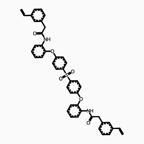 C=Cc1cccc(CC(=O)Nc2ccccc2Oc2ccc(S(=O)(=O)c3ccc(Oc4ccccc4NC(=O)Cc4cccc(C=C)c4)cc3)cc2)c1